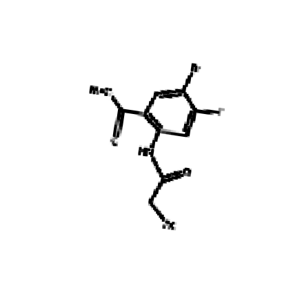 COC(=O)c1cc(Br)c(F)cc1NC(=O)CC(C)=O